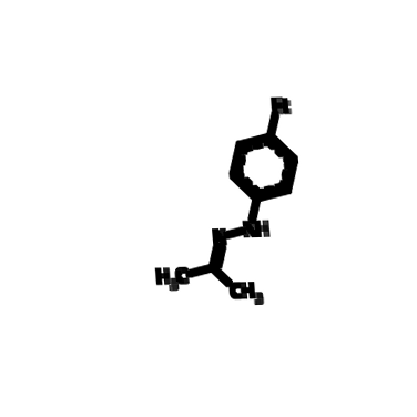 CCc1ccc(NN=C(C)C)cc1